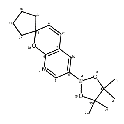 CC1(C)OB(c2cnc3c(c2)C=CC2(CCCC2)O3)OC1(C)C